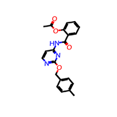 CC(=O)Oc1ccccc1C(=O)Nc1ccnc(OCc2ccc(C)cc2)n1